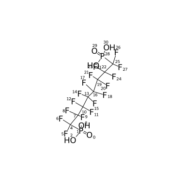 O=P(O)(O)C(F)(F)C(F)(F)C(F)(F)C(F)(F)C(F)(F)C(F)(F)C(F)(F)C(F)(F)P(=O)(O)O